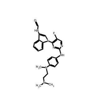 CN(C)CCN(C)c1ccc(Nc2ncc(F)c(-n3cc(NC=O)c4ccccc43)n2)cc1